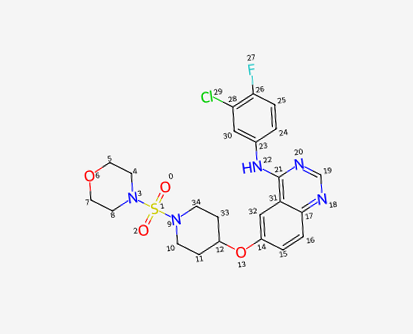 O=S(=O)(N1CCOCC1)N1CCC(Oc2ccc3ncnc(Nc4ccc(F)c(Cl)c4)c3c2)CC1